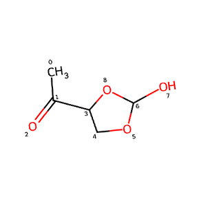 CC(=O)C1COC(O)O1